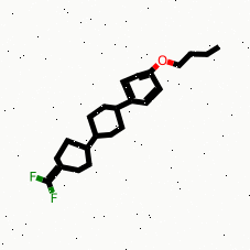 CCCCOc1ccc(C2CCC(C3CCC(=C(F)F)CC3)CC2)cc1